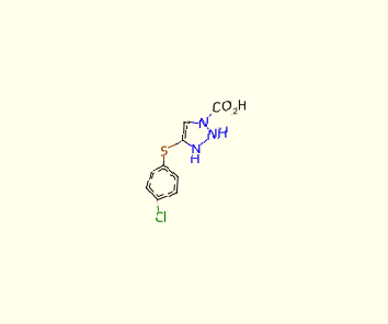 O=C(O)N1C=C(Sc2ccc(Cl)cc2)NN1